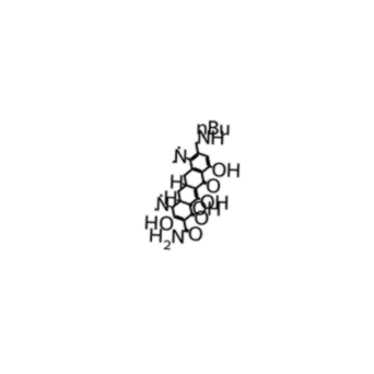 CCCCNCc1cc(O)c2c(c1N(C)C)C[C@H]1C[C@H]3[C@H](N(C)C)C(O)=C(C(N)=O)C(=O)[C@@]3(O)C(O)=C1C2=O